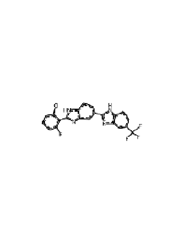 Fc1cccc(Cl)c1-c1nc2cc(-c3nc4cc(C(F)(F)F)ccc4[nH]3)ccc2[nH]1